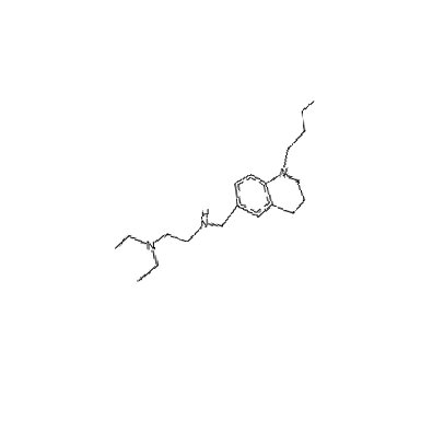 CCCCN1CCCc2cc(CNCCN(CC)CC)ccc21